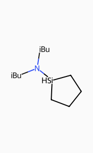 CCC(C)N(C(C)CC)[SiH]1CCCC1